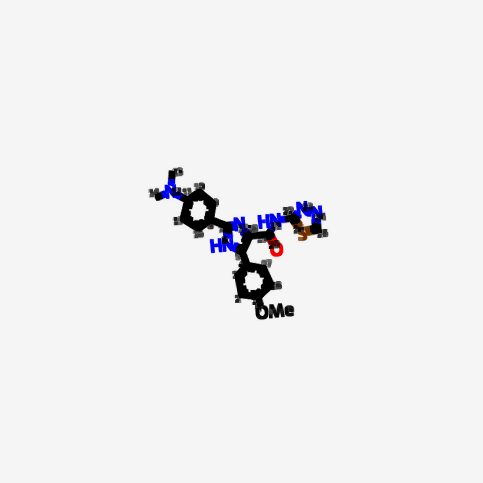 COc1ccc(-c2[nH]c(-c3ccc(N(C)C)cc3)nc2C(=O)Nc2nncs2)cc1